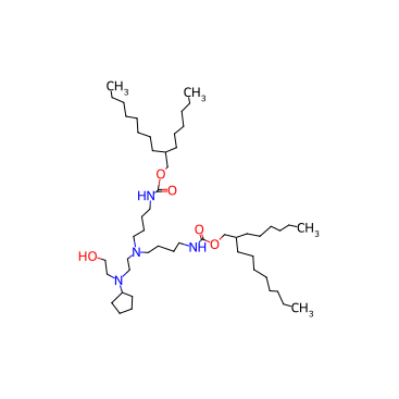 CCCCCCCCC(CCCCCC)COC(=O)NCCCCN(CCCCNC(=O)OCC(CCCCCC)CCCCCCCC)CCN(CCO)C1CCCC1